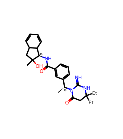 CCC1(CC)CC(=O)N([C@H](C)c2cccc(C(=O)N[C@@H]3C4C=CC=CC4CC3(C)O)c2)C(=N)N1